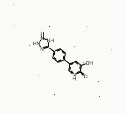 O=c1[nH]cc(-c2ccc(C3=NNNN3)cc2)cc1O